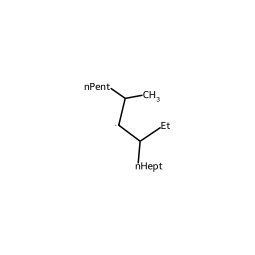 CCCCCCCC([CH]C(C)CCCCC)CC